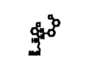 CNCCCNc1nc(-c2cccc(-c3cccc(Cl)c3)c2)nc2c(Cl)cccc12